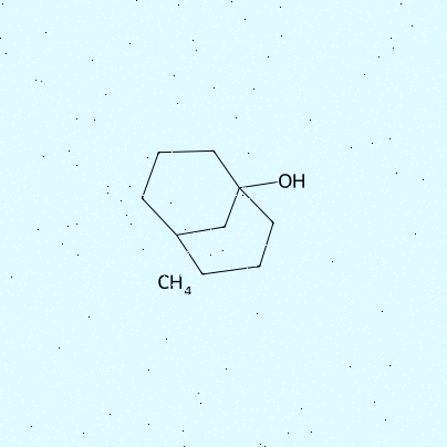 C.OC12CCCC(CCC1)C2